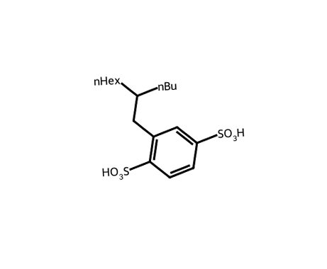 CCCCCCC(CCCC)Cc1cc(S(=O)(=O)O)ccc1S(=O)(=O)O